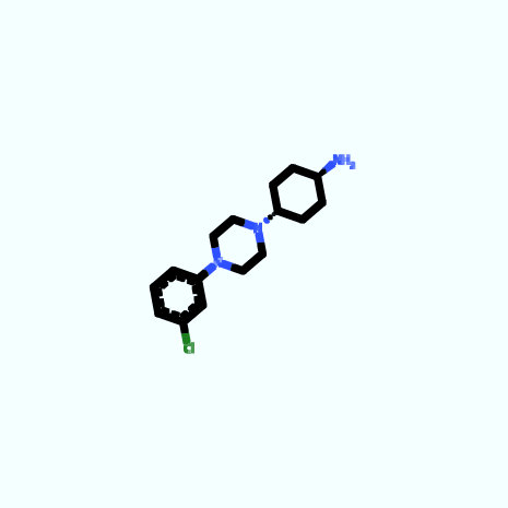 N[C@H]1CC[C@H](N2CCN(c3cccc(Cl)c3)CC2)CC1